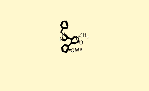 COc1ccccc1-c1cc(=O)n(C)cc1-c1cnn(Cc2ccccc2)c1